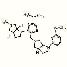 CSc1cccc(N2CC[C@H]3CN(Cc4ccc(C(C)C)nc4N4CC[C@H]5CN(C)C[C@@H]54)CC32)n1